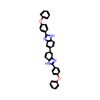 c1ccc(Oc2ccc(-c3nc4cc(-c5ccc6[nH]c(-c7ccc(Oc8ccccc8)cc7)nc6c5)ccc4[nH]3)cc2)cc1